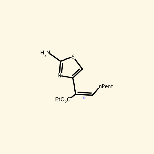 CCCCC/C=C(/C(=O)OCC)c1csc(N)n1